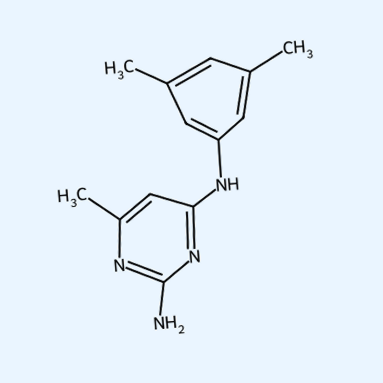 Cc1cc(C)cc(Nc2cc(C)nc(N)n2)c1